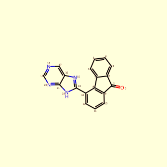 O=C1c2ccccc2-c2c1cccc2-c1nc2cncnc2[nH]1